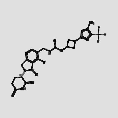 Cc1cn(C2CC(OC(=O)NCc3ccc4c(c3F)C(=O)N([C@H]3CCC(=O)NC3=O)C4)C2)nc1C(F)(F)F